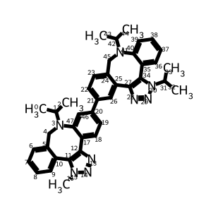 CC(C)N1Cc2ccccc2-c2c(nnn2C)-c2ccc(-c3ccc4c(c3)-c3nnn(C(C)C)c3-c3ccccc3N(C(C)C)C4)cc21